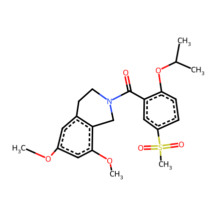 COc1cc2c(c(OC)c1)CN(C(=O)c1cc(S(C)(=O)=O)ccc1OC(C)C)CC2